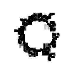 C=CC(=O)NC[C@@H]1NC(=O)[C@H](C)N(C)C(=O)CN(C)C(=O)[C@H](CC)NC(=O)[C@H]([C@H](O)[C@H](C)C/C=C/C)N(C)C(=O)[C@H](C(C)C)N(C)C(=O)[C@H](CC(C)C)N(C)C(=O)[C@H](CC(C)C)N(C)C(=O)[C@@H](C)NC(=O)[C@H]([C@@H](C)O)NC(=O)[C@@H](C)N(C)C1=O